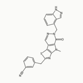 Cn1c2nc(Cc3cccc(C#N)c3)sc2c2cnn(Cc3cccc4[nH]ncc34)c(=O)c21